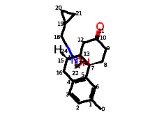 Cc1ccc2c(c1)[C@@]13CCC(=O)C[C@@]1(O)[C@@H](C2)N(CC1CC1)CC3